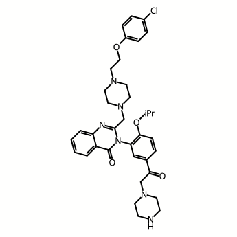 CC(C)Oc1ccc(C(=O)CN2CCNCC2)cc1-n1c(CN2CCN(CCOc3ccc(Cl)cc3)CC2)nc2ccccc2c1=O